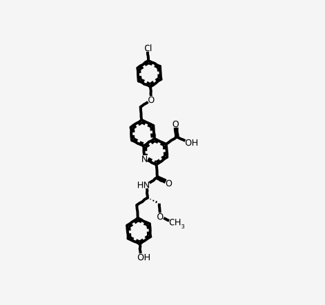 COC[C@H](Cc1ccc(O)cc1)NC(=O)c1cc(C(=O)O)c2cc(COc3ccc(Cl)cc3)ccc2n1